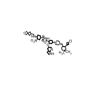 CC1(C)CCC(CN2CCN(c3ccc(C(=O)NS(=O)(=O)c4ccc(NCC5CC6(COC6)C5)c([N+](=O)[O-])c4)c(Oc4cnc5[nH]ccc5c4)c3)CC2)=C(C23CC(Cl)(C2)C3)C1